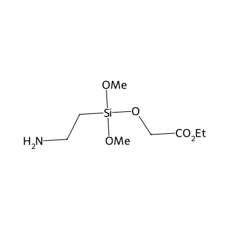 CCOC(=O)CO[Si](CCN)(OC)OC